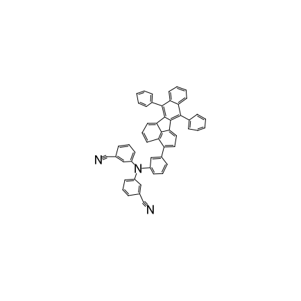 N#Cc1cccc(N(c2cccc(C#N)c2)c2cccc(-c3ccc4c5c(cccc35)-c3c-4c(-c4ccccc4)c4ccccc4c3-c3ccccc3)c2)c1